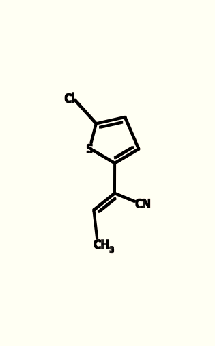 C/C=C(\C#N)c1ccc(Cl)s1